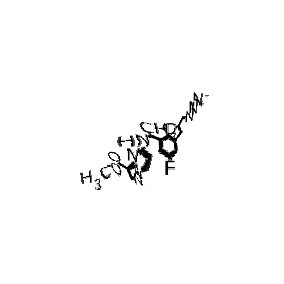 CCOC(=O)c1cnn2ccc(N[C@H](C)c3cc(F)cc4c3OC(CN=[N+]=[N-])C4)nc12